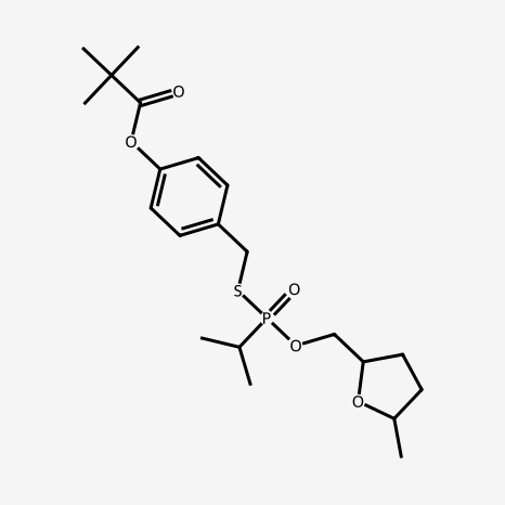 CC1CCC(COP(=O)(SCc2ccc(OC(=O)C(C)(C)C)cc2)C(C)C)O1